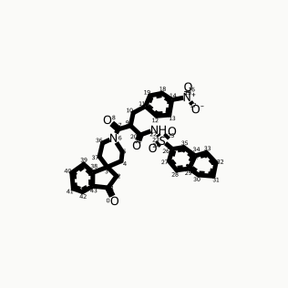 O=C1CC2(CCN(C(=O)C(Cc3ccc([N+](=O)[O-])cc3)C(=O)NS(=O)(=O)c3ccc4ccccc4c3)CC2)c2ccccc21